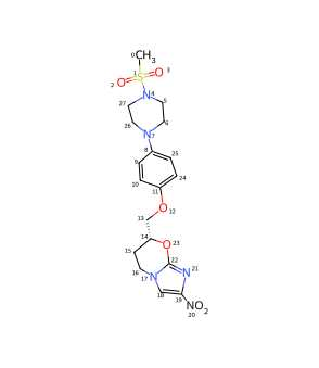 CS(=O)(=O)N1CCN(c2ccc(OC[C@H]3CCn4cc([N+](=O)[O-])nc4O3)cc2)CC1